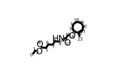 CCOC(=O)CCCCCNC(=O)COC1CCCCC/C=C\1C